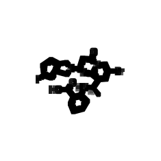 C[C@@H](Nc1ccccc1C(=O)O)c1cc(Br)cn2c(=O)cc(N3Cc4ccc(F)cc4C3)nc12